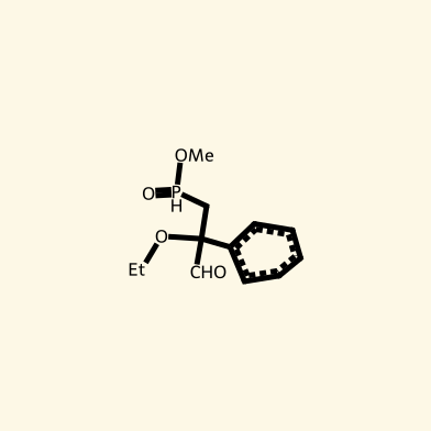 CCOC(C=O)(C[PH](=O)OC)c1ccccc1